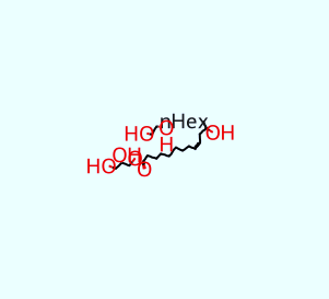 CCCCCCC(O)C/C=C\CCCCCCCC(=O)OCC(O)CO.OCCO